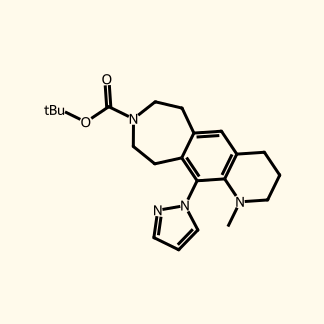 CN1CCCc2cc3c(c(-n4cccn4)c21)CCN(C(=O)OC(C)(C)C)CC3